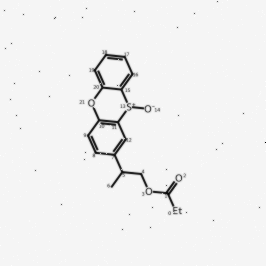 CCC(=O)OCC(C)c1ccc2c(c1)[S+]([O-])c1ccccc1O2